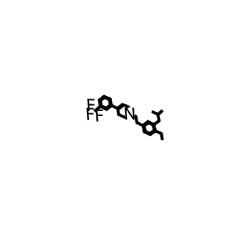 CCc1ccc(CCN2CC=C(c3cccc(C(F)(F)F)c3)CC2)cc1CC(C)C